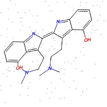 CN(C)CCC1=c2c(O)cccc2=NC1=C1N=c2cccc(O)c2=C1CCN(C)C